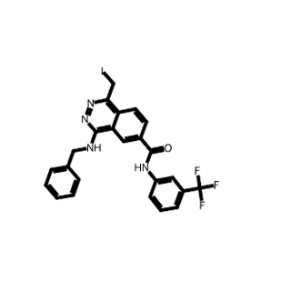 O=C(Nc1cccc(C(F)(F)F)c1)c1ccc2c(CI)nnc(NCc3ccccc3)c2c1